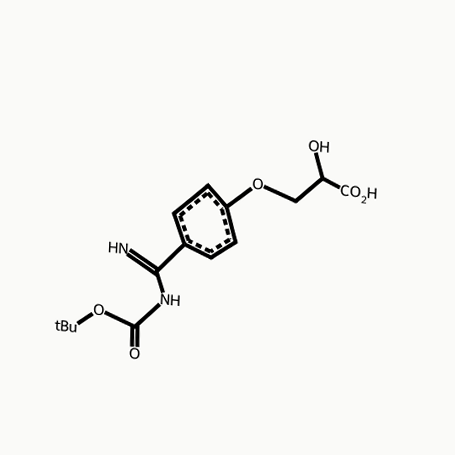 CC(C)(C)OC(=O)NC(=N)c1ccc(OCC(O)C(=O)O)cc1